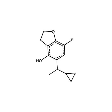 CC(c1cc(F)c2c(c1O)CCO2)C1CC1